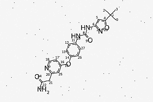 CC(C)(C)c1cc(NC(=O)Nc2ccc(Oc3ccnc(CC(N)=O)c3)cc2)no1